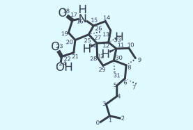 CC(C)CCC[C@@H](C)[C@H]1CC[C@H]2[C@@H]3CCC4NC(=O)CC(CC(=O)O)[C@]4(C)[C@H]3CC[C@]12C